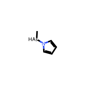 C[AsH]n1cccc1